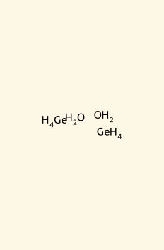 O.O.[GeH4].[GeH4]